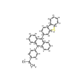 C=C(CC)c1ccc(-c2c3ccccc3c(-c3ccc4c(c3)sc3ccccc34)c3ccccc23)cc1